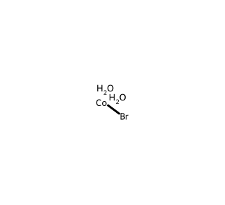 O.O.[Co][Br]